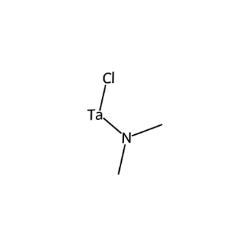 C[N](C)[Ta][Cl]